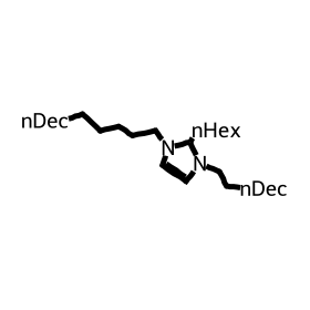 CCCCCCCCCCCCCCCN1C=CN(CCCCCCCCCCCC)C1CCCCCC